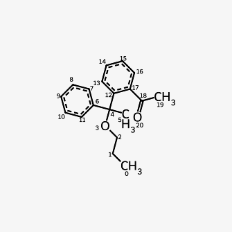 CCCOC(C)(c1ccccc1)c1ccccc1C(C)=O